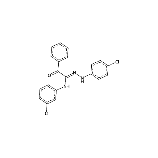 O=C(/C(=N/Nc1ccc(Cl)cc1)Nc1cccc(Cl)c1)c1ccccc1